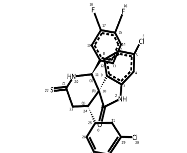 O=C1Nc2cc(Cl)ccc2[C@]12[C@H](c1ccc(F)c(F)c1)NC(=S)C[C@H]2C1C=CC=C(Cl)C1